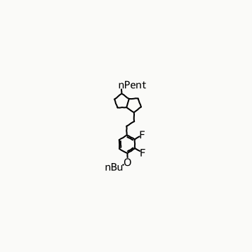 CCCCCC1CCC2C(CCc3ccc(OCCCC)c(F)c3F)CCC12